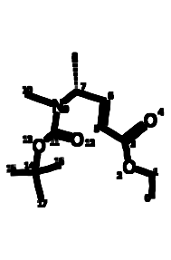 CCOC(=O)/C=C/[C@@H](C)N(C)C(=O)OC(C)(C)C